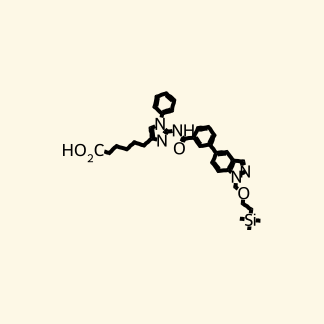 C[Si](C)(C)CCOCn1ncc2cc(-c3cccc(C(=O)Nc4nc(CCCCCC(=O)O)cn4-c4ccccc4)c3)ccc21